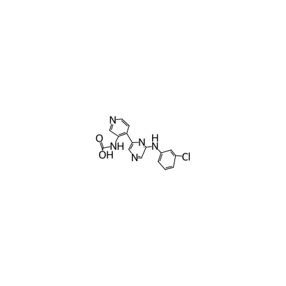 O=C(O)Nc1cnccc1-c1cncc(Nc2cccc(Cl)c2)n1